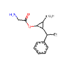 CCC(c1ccccc1)C1C(OC(=O)CN)C1C(=O)O